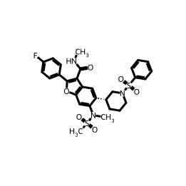 CNC(=O)c1c(-c2ccc(F)cc2)oc2cc(N(C)S(C)(=O)=O)c([C@H]3CCCN(S(=O)(=O)c4ccccc4)C3)cc12